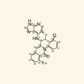 CCC(Nc1ncnc2[nH]cnc12)c1cc2cccc(F)c2c(=O)n1-c1cccc(Cl)c1